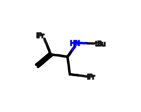 C=C(C(C)C)C(CC(C)C)NC(C)(C)C